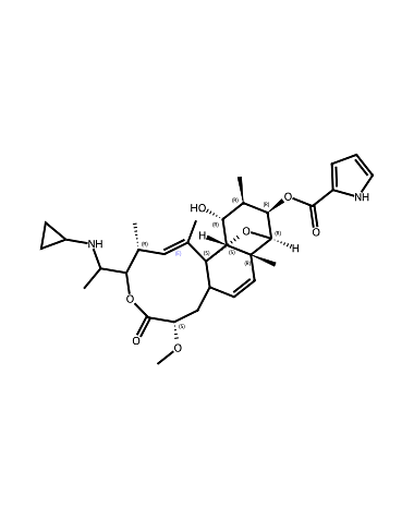 CO[C@H]1CC2C=C[C@]3(C)[C@H]4[C@H](O)[C@@H](C)[C@@H](OC(=O)c5ccc[nH]5)[C@@H]3O[C@@]24/C(C)=C/[C@@H](C)C(C(C)NC2CC2)OC1=O